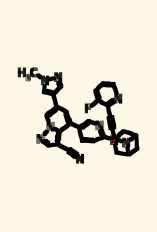 Cn1cc(-c2cc(-c3ccc(N4CC5CC(C4)N5CC#Cc4ncccc4F)nc3)c3c(C#N)cnn3c2)cn1